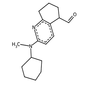 CN(c1ccc2c(n1)CCCC2C=O)C1CCCCC1